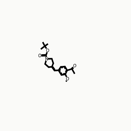 COc1cc(C=C2CCN(C(=O)OC(C)(C)C)CC2)ccc1C(C)=O